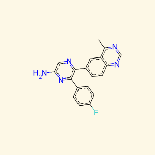 Cc1ncnc2ccc(-c3ncc(N)nc3-c3ccc(F)cc3)cc12